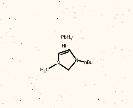 CCCCN1C=CN(C)C1.I.[PbH2]